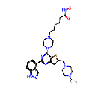 CN1CCN(Cc2cc3nc(-c4cccc5[nH]ncc45)nc(N4CCN(CCCCCC(=O)NO)CC4)c3s2)CC1